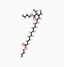 CCCCOC(=O)CCCCCCCCCCCCCC(CC)C(CC)C(=O)OCCCC